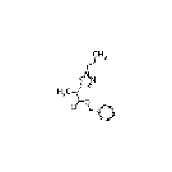 CCCn1cc(C(C)C(=O)OCc2ccccc2)cn1